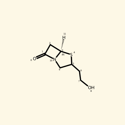 O=C1C[C@H]2SC(CCO)CN12